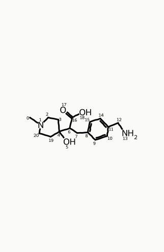 CN1CCC(O)(C(Cc2ccc(CN)cc2)C(=O)O)CC1